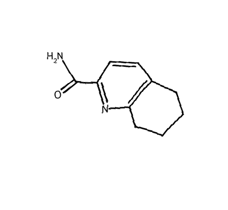 NC(=O)c1ccc2c(n1)CCCC2